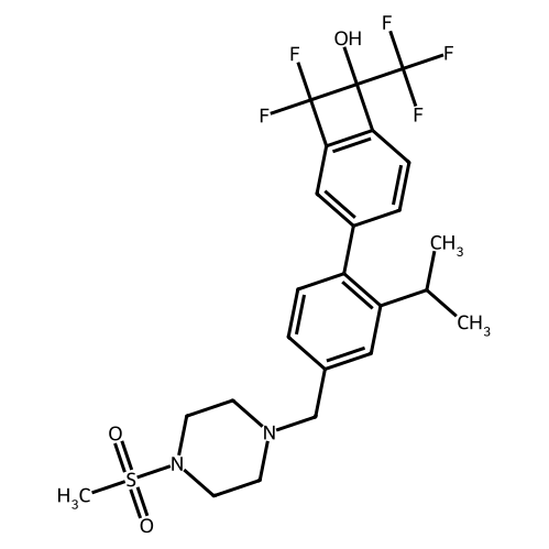 CC(C)c1cc(CN2CCN(S(C)(=O)=O)CC2)ccc1-c1ccc2c(c1)C(F)(F)C2(O)C(F)(F)F